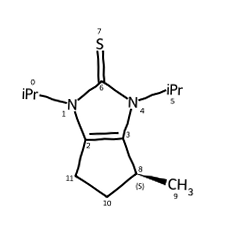 CC(C)n1c2c(n(C(C)C)c1=S)[C@@H](C)CC2